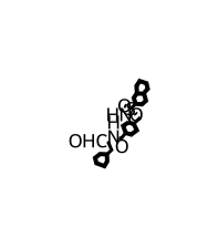 Cc1ccc(C(=O)N[C@H](C=O)Cc2ccccc2)cc1NS(=O)(=O)c1ccc2ccccc2c1